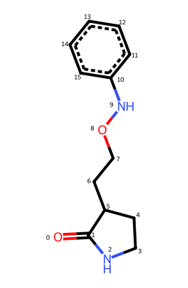 O=C1NCCC1CCONc1ccccc1